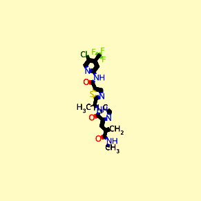 C=C(/C=C(\N=C/C)C(=O)N[C@H](C)c1ncc(C(=O)Nc2cc(C(F)(F)F)c(Cl)cn2)s1)C(=O)NC